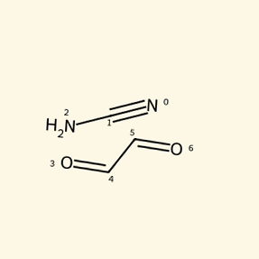 N#CN.O=CC=O